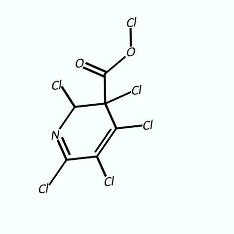 O=C(OCl)C1(Cl)C(Cl)=C(Cl)C(Cl)=NC1Cl